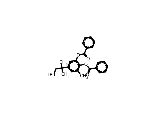 Cc1cc(C(C)(C)CC(C)(C)C)cc(OC(=O)c2ccccc2)c1OC(=O)c1ccccc1